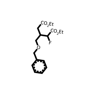 CCOC(=O)CC(COCc1ccccc1)C(F)C(=O)OCC